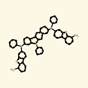 Cc1cccc2c1oc1cc(N(c3ccccc3)c3ccc4cc5c6ccc(N(c7ccccc7)c7ccc8c(c7)oc7c(C)cccc78)cc6n(-c6ccccc6)c5cc4c3)ccc12